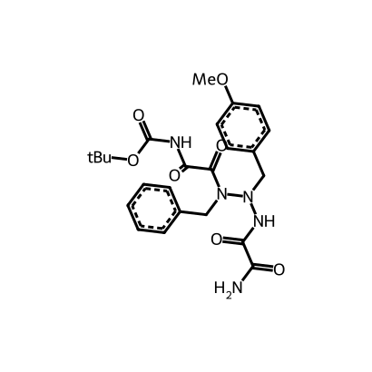 COc1ccc(CN(NC(=O)C(N)=O)N(Cc2ccccc2)C(=O)C(=O)NC(=O)OC(C)(C)C)cc1